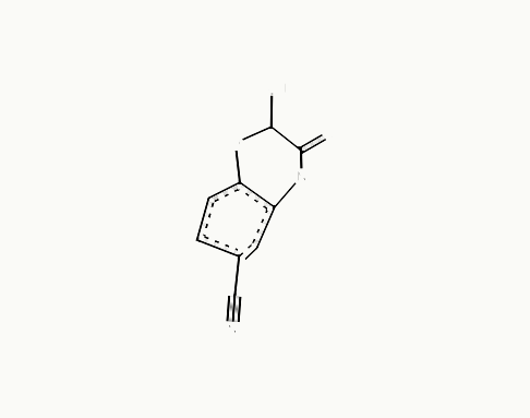 CC1Oc2ccc(C#N)cc2NC1=S